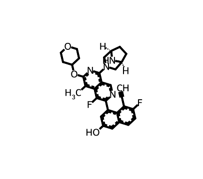 C#Cc1c(F)ccc2cc(O)cc(-c3ncc4c(N5C[C@H]6CC[C@@H](C5)N6)nc(OC5CCOCC5)c(C)c4c3F)c12